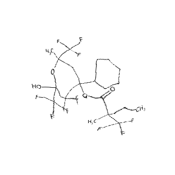 CCC(C)(C(=O)OC1(C2CCCCC2)CC(C)(C(F)(F)F)OC(O)(C(F)(F)F)C1(F)F)C(F)(F)F